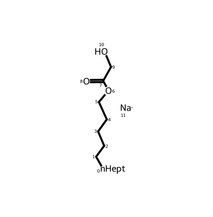 CCCCCCCCCCCCOC(=O)CO.[Na]